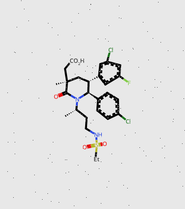 CCS(=O)(=O)NCC[C@H](C)N1C(=O)[C@@](C)(CC(=O)O)C[C@H](c2cc(F)cc(Cl)c2)[C@H]1c1ccc(Cl)cc1